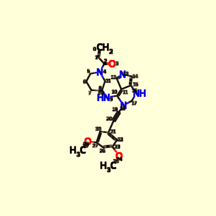 C=CC(=O)N1CCC[C@H](NC2=C3C=NC=C3NCN2C#Cc2cc(OC)cc(OC)c2)C1